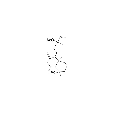 C=CC(C)(CCC1C(=C)CC(OC(C)=O)C2C(C)(C)CCCC12C)OC(C)=O